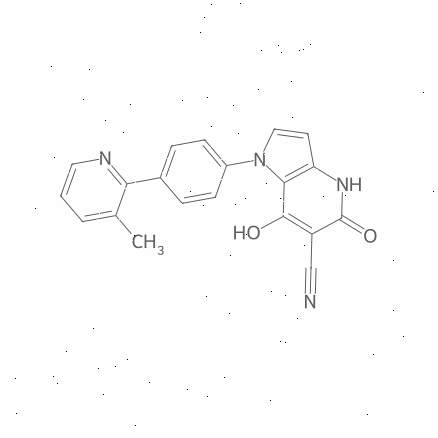 Cc1cccnc1-c1ccc(-n2ccc3[nH]c(=O)c(C#N)c(O)c32)cc1